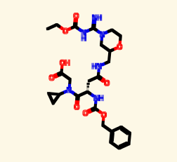 CCOC(=O)NC(=N)N1CCOC(CNC(=O)C[C@H](NC(=O)OCc2ccccc2)C(=O)N(CC(=O)O)C2CC2)C1